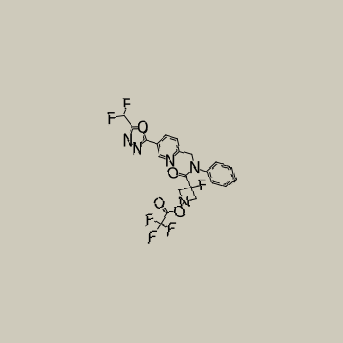 O=C(ON1CC(F)(C(=O)N(Cc2ccc(-c3nnc(C(F)F)o3)cn2)c2ccccc2)C1)C(F)(F)F